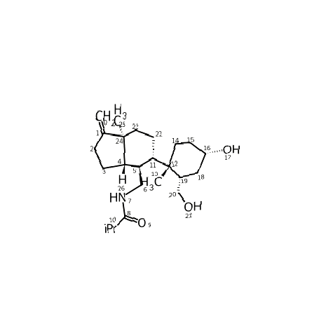 C=C1CC[C@H]2[C@H](CNC(=O)C(C)C)[C@@H]([C@]3(C)CC[C@H](O)C[C@@H]3CO)CC[C@]12C